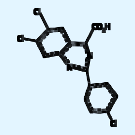 O=C(O)c1nc(-c2ccc(Cl)cc2)nc2cc(Cl)c(Cl)cc12